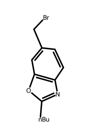 CCCCc1nc2ccc(CBr)cc2o1